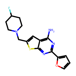 Nc1nc(-c2ccco2)nc2sc(CN3CCC(F)CC3)cc12